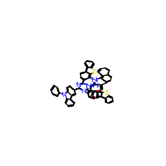 c1ccc(-n2c3ccccc3c3cc(C4=NC(c5ccc6c(c5)sc5ccccc56)NC(c5ccc6c(sc7ccccc76)c5-n5c6cc7ccccc7cc6c6ccc7ccccc7c65)=N4)ccc32)cc1